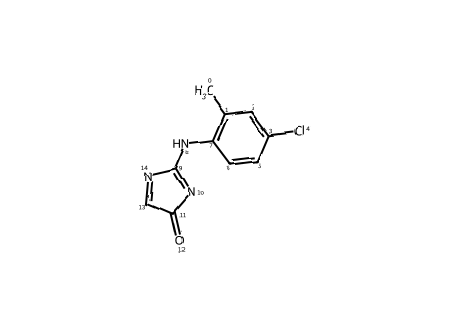 Cc1cc(Cl)ccc1NC1=NC(=O)C=N1